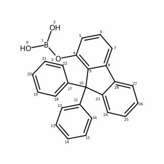 OB(O)Oc1cccc2c1C(c1ccccc1)(c1ccccc1)c1ccccc1-2